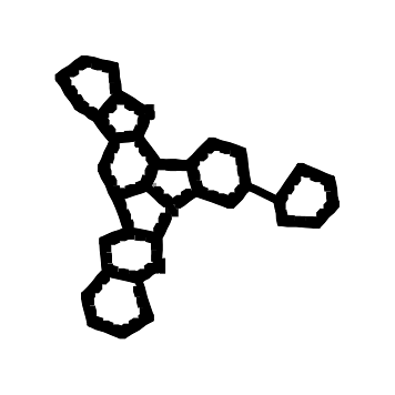 c1ccc(-c2ccc3c4c5sc6ccccc6c5cc5c6cc7ccccc7nc6n(c3c2)c54)cc1